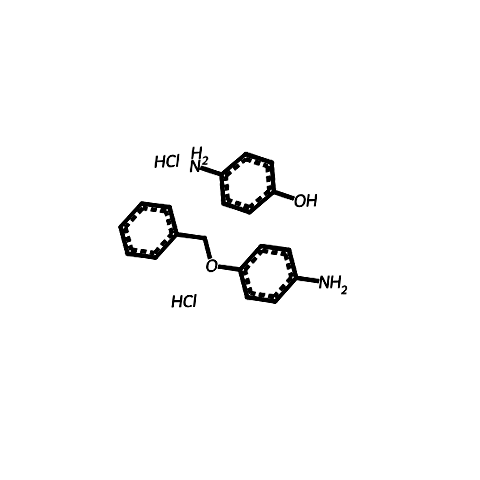 Cl.Cl.Nc1ccc(O)cc1.Nc1ccc(OCc2ccccc2)cc1